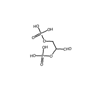 O=CC(COP(=O)(O)O)OP(=O)(O)O